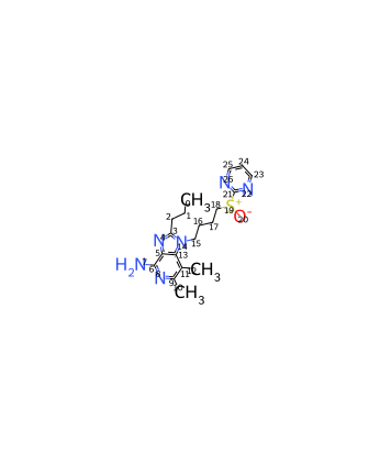 CCCc1nc2c(N)nc(C)c(C)c2n1CCCC[S+]([O-])c1ncccn1